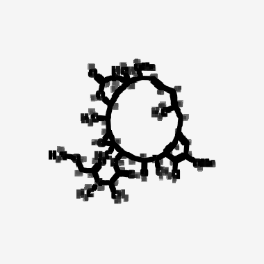 COc1cc2cc(c1Cl)N(C)C(=O)CC(OC(=O)C(C)N(C)C(=O)CON)C1(C)OC1C(C)C1CC(O)(NC(=O)O1)C(OC)/C=C/C=C(\C)C2